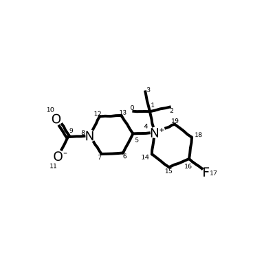 CC(C)(C)[N+]1(C2CCN(C(=O)[O-])CC2)CCC(F)CC1